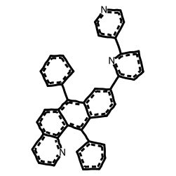 c1ccc(-c2c3cc(-c4cccc(-c5ccncc5)n4)ccc3c(-c3ccccc3)c3c2ccc2cccnc23)cc1